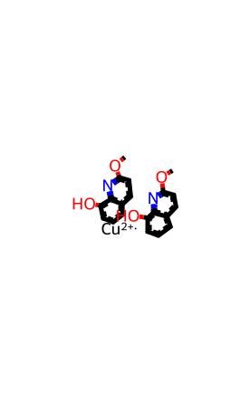 COc1ccc2cccc(O)c2n1.COc1ccc2cccc(O)c2n1.[Cu+2]